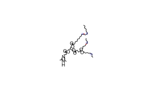 CC/C=C\CCCCOC(CCC(=O)OCC(COC(=O)CCCCCCC/C=C\C/C=C\CCCCC)COC(=O)CCN1CC(C)NC(C)C1)OCCCC/C=C\CC